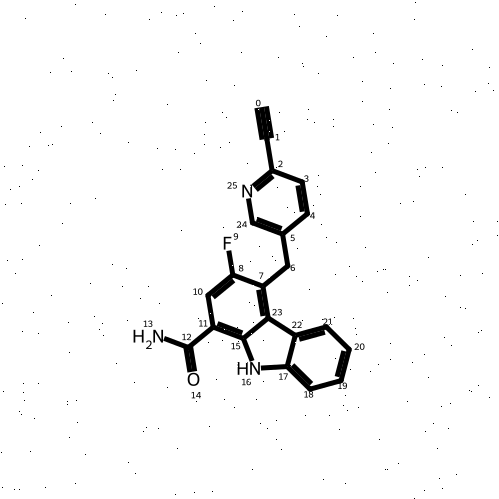 C#Cc1ccc(Cc2c(F)cc(C(N)=O)c3[nH]c4ccccc4c23)cn1